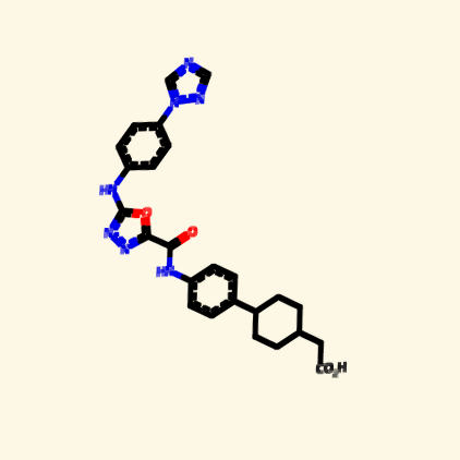 O=C(O)CC1CCC(c2ccc(NC(=O)c3nnc(Nc4ccc(-n5cncn5)cc4)o3)cc2)CC1